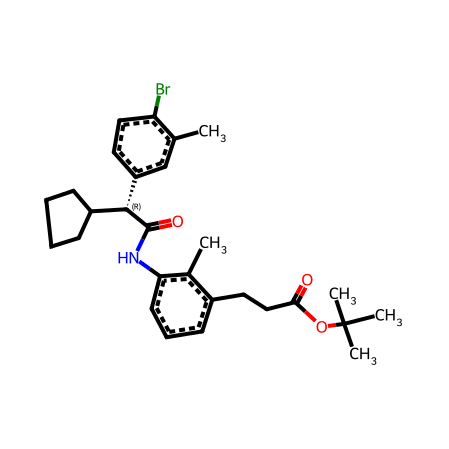 Cc1cc([C@H](C(=O)Nc2cccc(CCC(=O)OC(C)(C)C)c2C)C2CCCC2)ccc1Br